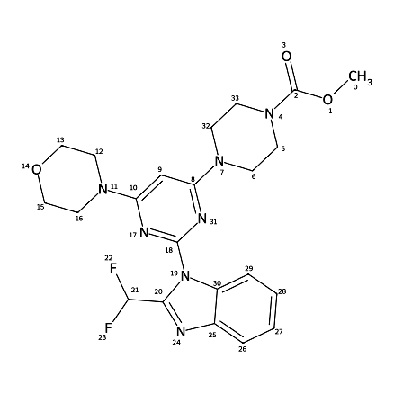 COC(=O)N1CCN(c2cc(N3CCOCC3)nc(-n3c(C(F)F)nc4ccccc43)n2)CC1